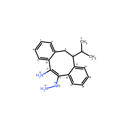 CC(C)C1Cc2ccccc2/C(N)=C(/NN)c2ccccc21